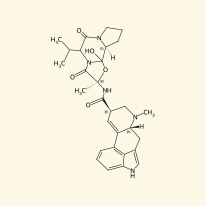 CC(C)C1C(=O)N2CCC[C@H]2C2(O)O[C@@](C)(NC(=O)[C@@H]3C=C4c5cccc6[nH]cc(c56)C[C@H]4N(C)C3)C(=O)N12